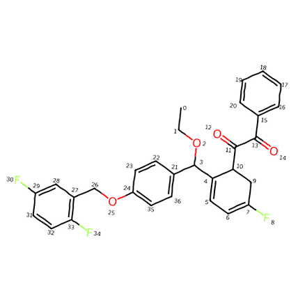 CCOC(C1=CC=C(F)CC1C(=O)C(=O)c1ccccc1)c1ccc(OCc2cc(F)ccc2F)cc1